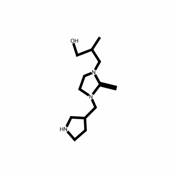 C=C1N(CC(C)CO)CCN1CC1CCNC1